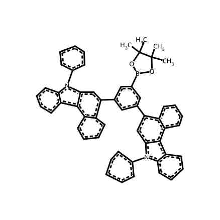 CC1(C)OB(c2cc(-c3cc4c(c5ccccc35)c3ccccc3n4-c3ccccc3)cc(-c3cc4c(c5ccccc35)c3ccccc3n4-c3ccccc3)c2)OC1(C)C